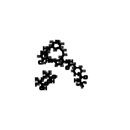 CC(C)(C)NC(=O)N1CCC(CC(=O)Nc2ccc3cc2CCc2cncc(c2)Nc2ncc(Cl)c(n2)N3)CC1.O=C(O)C(F)(F)F.O=C(O)C(F)(F)F